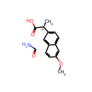 COc1ccc2cc([C@H](C)C(=O)O)ccc2c1.NC=O